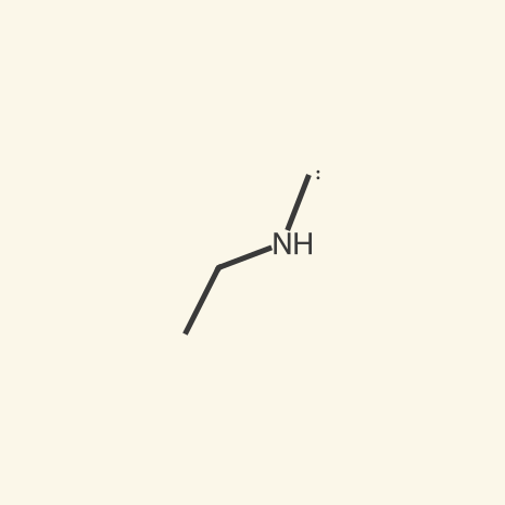 [CH]NCC